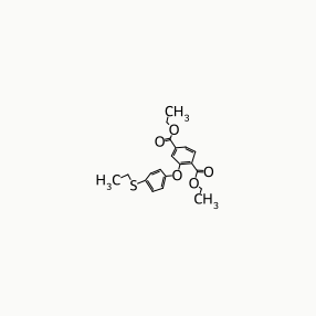 CCOC(=O)c1ccc(C(=O)OCC)c(Oc2ccc(SCC)cc2)c1